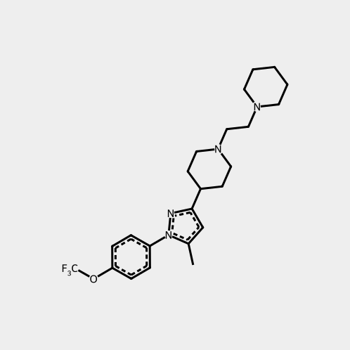 Cc1cc(C2CCN(CCN3CCCCC3)CC2)nn1-c1ccc(OC(F)(F)F)cc1